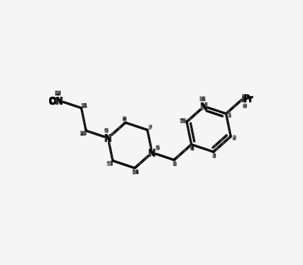 CC(C)c1ccc(CN2CCN(CCN=O)CC2)cn1